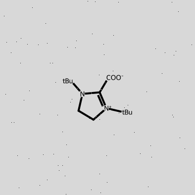 CC(C)(C)N1CC[N+](C(C)(C)C)=C1C(=O)[O-]